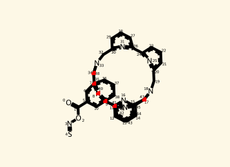 O=C(ON=S)c1cc2nc(c1)-c1cccc(n1)CN1Cc3cccc(n3)-c3cccc(n3)CN(Cc3cccc(n3)-c3cccc(n3)C1)C2